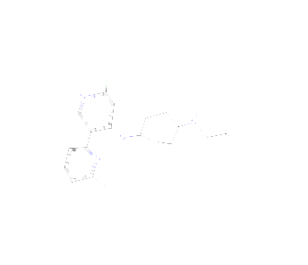 FCCNC1CCC(Nc2cc(Cl)ncc2-c2cccc(F)n2)CC1